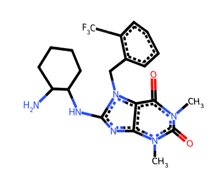 Cn1c(=O)c2c(nc(NC3CCCCC3N)n2Cc2ccccc2C(F)(F)F)n(C)c1=O